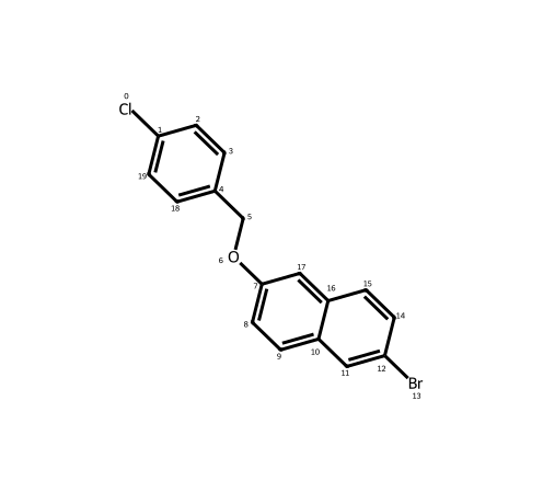 Clc1ccc(COc2ccc3cc(Br)ccc3c2)cc1